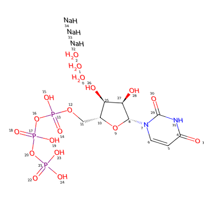 O.O.O.O=c1ccn([C@@H]2O[C@H](COP(=O)(O)OP(=O)(O)OP(=O)(O)O)[C@@H](O)[C@H]2O)c(=O)[nH]1.[NaH].[NaH].[NaH]